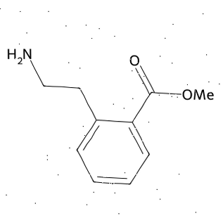 COC(=O)c1ccccc1CCN